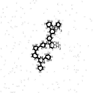 C/C=C\c1c(C)c2cc(C3=CCC4(C)C(=C3)c3ccccc3N4c3ccccc3)ccc2n1-c1ccc(-c2cccc(-c3cccc(-c4cc(C5=CCCC=C5)nc(-c5ccccc5)n4)c3)c2)cc1